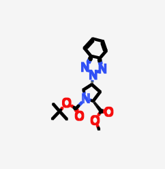 COC(=O)[C@@H]1C[C@@H](n2nc3ccccc3n2)CN1C(=O)OC(C)(C)C